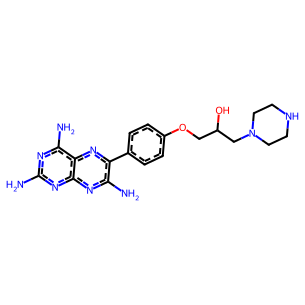 Nc1nc(N)c2nc(-c3ccc(OCC(O)CN4CCNCC4)cc3)c(N)nc2n1